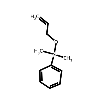 C=CCO[Si](C)(C)c1ccccc1